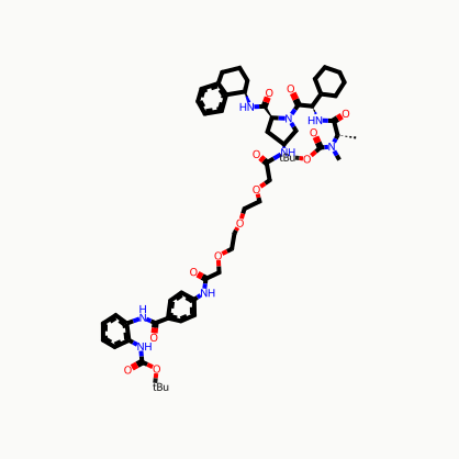 C[C@@H](C(=O)N[C@H](C(=O)N1C[C@@H](NC(=O)COCCOCCOCC(=O)Nc2ccc(C(=O)Nc3ccccc3NC(=O)OC(C)(C)C)cc2)C[C@H]1C(=O)N[C@@H]1CCCc2ccccc21)C1CCCCC1)N(C)C(=O)OC(C)(C)C